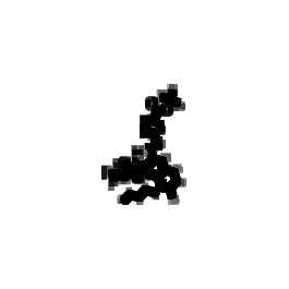 CCCCCN1c2cc(NS(=O)(=O)CC(F)(F)F)c(N=Nc3nnc(C(=O)OC(C)(C)C)s3)cc2CCC1C